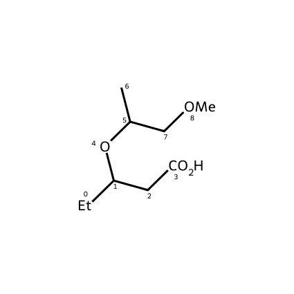 CCC(CC(=O)O)OC(C)COC